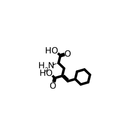 N[C@@H](C/C(=C\C1CCCCC1)C(=O)O)C(=O)O